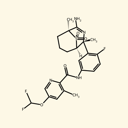 Cc1cc(OC(F)F)cnc1C(=O)Nc1ccc(F)c([C@@]2(C)N=C(N)[C@]3(C)CCC[C@H]2S3(=O)=O)c1